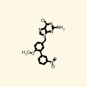 COc1ccc(Cn2cnc3c(Cl)nc(N)nc32)cc1-c1cccc([N+](=O)[O-])c1